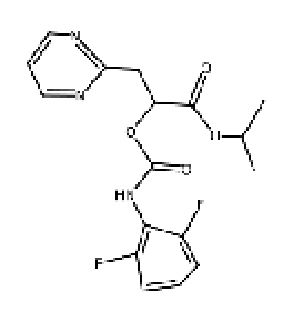 CC(C)OC(=O)C(Cc1ncccn1)OC(=O)Nc1c(F)cccc1F